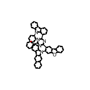 c1ccc(-c2nc(-c3cc4c(cc3-n3c5ccccc5c5cc6ccccc6cc53)oc3ccccc34)nc(-c3cccc4c5ccccc5n(-c5ccccc5)c34)n2)cc1